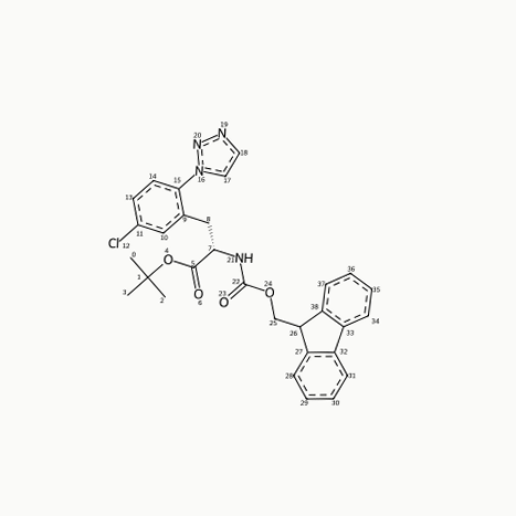 CC(C)(C)OC(=O)[C@H](Cc1cc(Cl)ccc1-n1ccnn1)NC(=O)OCC1c2ccccc2-c2ccccc21